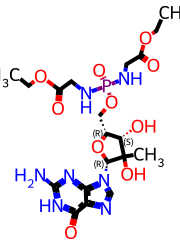 CCOC(=O)CNP(=O)(NCC(=O)OCC)OC[C@H]1O[C@@H](n2cnc3c(=O)[nH]c(N)nc32)C(C)(O)[C@H]1O